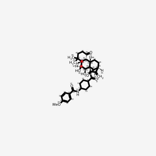 C=C1C(=O)[C@]23[C@H](OC(=O)C4CCC(NC(=O)c5ccc(OC)cc5)CC4)[C@H]1CC[C@H]2[C@@]12CO[C@]3(O)[C@@H](O)[C@@H]1C(C)(C)CCC2=O